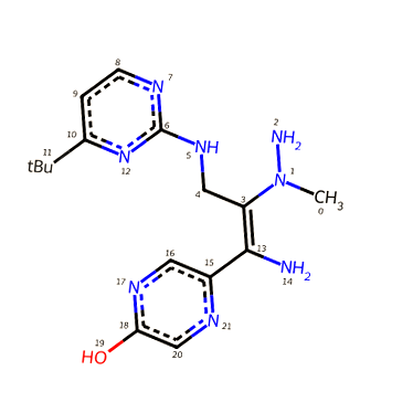 CN(N)/C(CNc1nccc(C(C)(C)C)n1)=C(\N)c1cnc(O)cn1